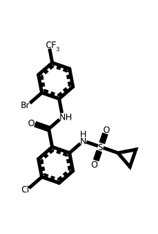 O=C(Nc1ccc(C(F)(F)F)cc1Br)c1cc(Cl)ccc1NS(=O)(=O)C1CC1